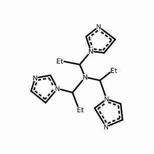 CCC(N(C(CC)n1ccnc1)C(CC)n1ccnc1)n1ccnc1